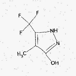 Cc1c(O)n[nH]c1C(F)(F)F